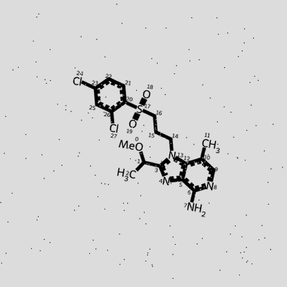 COC(C)c1nc2c(N)ncc(C)c2n1CCCS(=O)(=O)c1ccc(Cl)cc1Cl